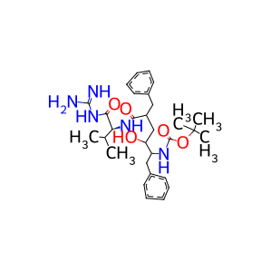 CC(C)[C@H](NC(=O)C(Cc1ccccc1)CC(O)C(Cc1ccccc1)NC(=O)OC(C)(C)C)C(=O)NC(=N)N